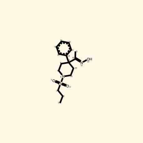 CCCS(=O)(=O)N1CCC(/C(C)=N/O)(c2ccccc2)CC1